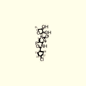 C[C@H]1O[C@@H](n2cc(F)c(NC(=O)c3ccc(Cl)cc3)nc2=O)C(O)C1O